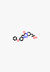 CC(C)(O)CC1CCN(C(=O)c2cc3cc(Oc4ccccc4)ccc3[nH]2)CC1